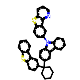 c1ccc2c(c1)sc1ccc(C3(c4ccc5c(c4)c4ccccc4n5-c4ccc5sc6cccnc6c5c4)CCCCC3)cc12